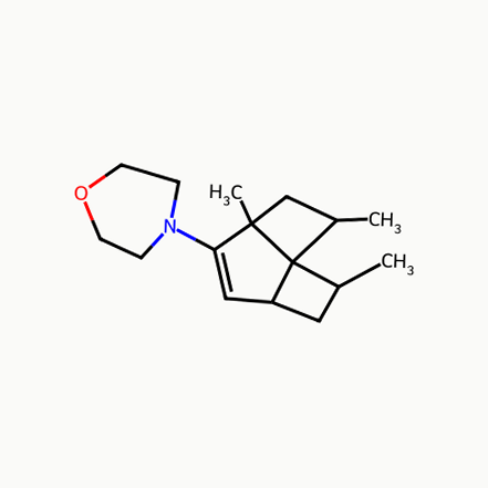 CC1CC2C=C(N3CCOCC3)C3(C)CC(C)C123